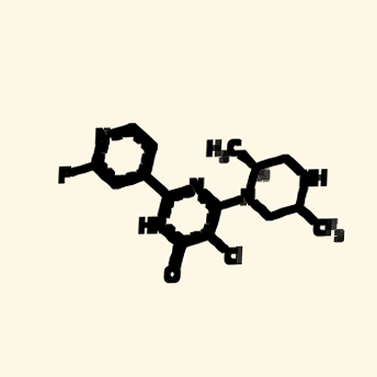 C[C@H]1CNC(C(F)(F)F)CN1c1nc(-c2ccnc(F)c2)[nH]c(=O)c1Cl